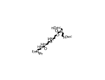 CCCCCCCCCCCCN(CCCCCCCCCCC)C(=O)OCCNSCCNC(=O)NCCN(CC)C(C)C